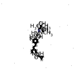 CC(C)N/C(=C\C(=N)C(C)(C)C)NC(=O)Nc1ccc(CCc2ccnc(NC(=O)C3CC3)c2)cc1F